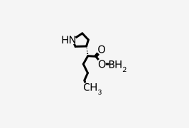 BOC(=O)C(CCCC)[C@H]1CCNC1